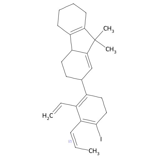 C=CC1=C(C2C=C3C(CC2)C2=C(CCCC2)C3(C)C)CCC(I)=C1/C=C\C